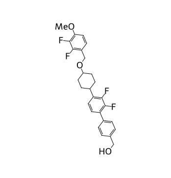 COc1ccc(COC2CCC(c3ccc(-c4ccc(CO)cc4)c(F)c3F)CC2)c(F)c1F